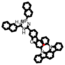 NC(N/C(=N\Pc1ccc2ccccc2c1)c1ccc2c(c1)oc1cc(-n3c4ccccc4c4ccc5c6ccccc6n(-c6ccccc6)c5c43)ccc12)c1ccc2ccccc2c1